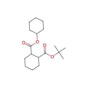 CC(C)(C)OC(=O)C1CCCCC1C(=O)OC1CCCCC1